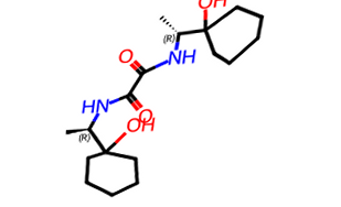 C[C@@H](NC(=O)C(=O)N[C@H](C)C1(O)CCCCC1)C1(O)CCCCC1